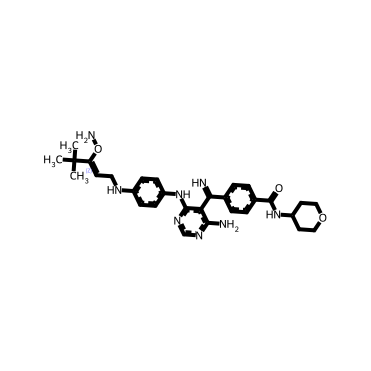 CC(C)(C)/C(=C/CNc1ccc(Nc2ncnc(N)c2C(=N)c2ccc(C(=O)NC3CCOCC3)cc2)cc1)ON